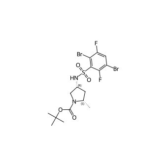 C[C@H]1C[C@@H](NS(=O)(=O)c2c(F)c(Br)cc(F)c2Br)CN1C(=O)OC(C)(C)C